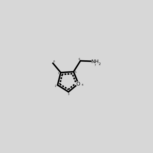 Cc1ccoc1CN